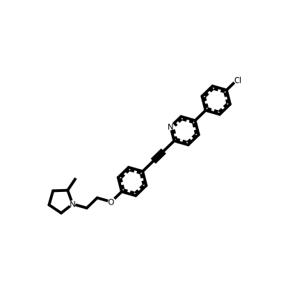 CC1CCCN1CCOc1ccc(C#Cc2ccc(-c3ccc(Cl)cc3)cn2)cc1